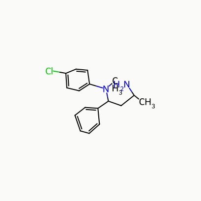 CC(N)CC(c1ccccc1)N(C)c1ccc(Cl)cc1